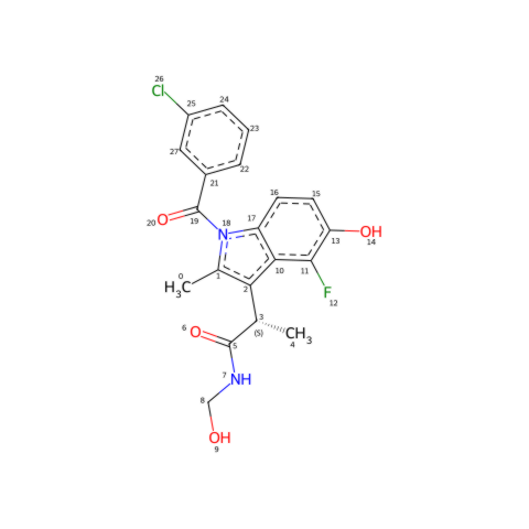 Cc1c([C@H](C)C(=O)NCO)c2c(F)c(O)ccc2n1C(=O)c1cccc(Cl)c1